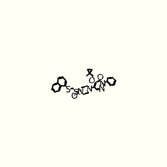 CC1(COc2c(N3CCN([S@+]([O-])CSc4cccc5ccccc45)CC3)cnn(-c3ccccc3)c2=O)CC1